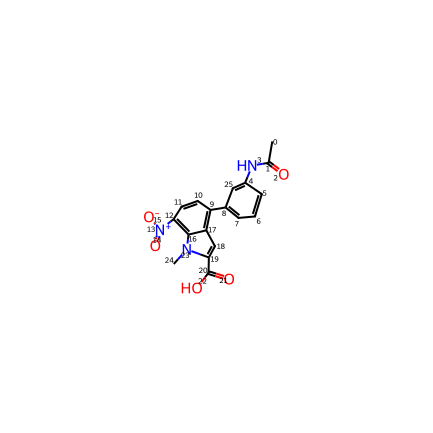 CC(=O)Nc1cccc(-c2ccc([N+](=O)[O-])c3c2cc(C(=O)O)n3C)c1